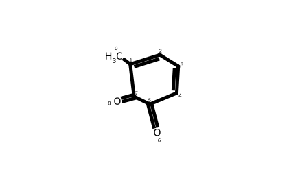 CC1=CC=CC(=O)C1=O